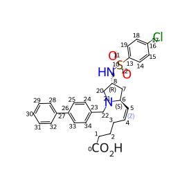 O=C(O)CCC/C=C\[C@@H]1C[C@@H](NS(=O)(=O)c2ccc(Cl)cc2)CN1Cc1ccc(-c2ccccc2)cc1